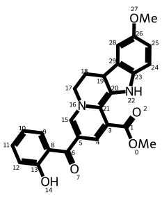 COC(=O)C1=CC(C(=O)c2ccccc2O)=CN2CCC3C(=C12)Nc1ccc(OC)cc13